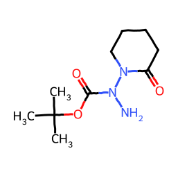 CC(C)(C)OC(=O)N(N)N1CCCCC1=O